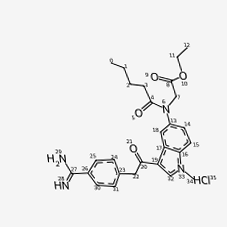 CCCCC(=O)N(CC(=O)OCC)c1ccc2c(c1)c(C(=O)Cc1ccc(C(=N)N)cc1)cn2C.Cl